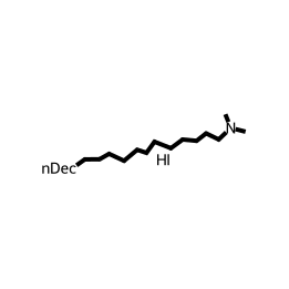 CCCCCCCCCCCCCCCCCCCCCCN(C)C.I